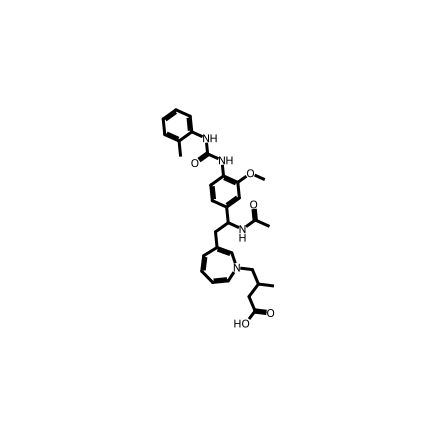 COc1cc(C(CC2=CN(CC(C)CC(=O)O)C=CC=C2)NC(C)=O)ccc1NC(=O)Nc1ccccc1C